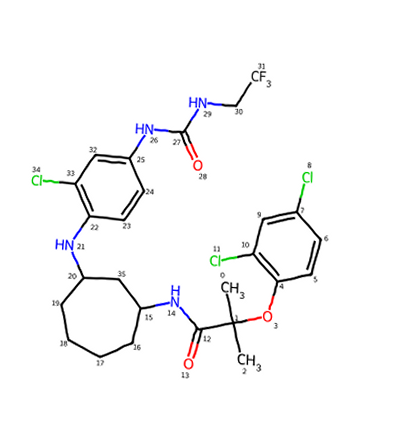 CC(C)(Oc1ccc(Cl)cc1Cl)C(=O)NC1CCCCC(Nc2ccc(NC(=O)NCC(F)(F)F)cc2Cl)C1